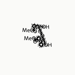 COC(=O)c1cccc(CN(CCO)CCOCCOCCN(CCO)C(c2ccccc2)c2cccc(C(=O)OC)n2)n1